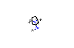 CC(C)NC1C[C@H]2CC[C@@H](C1)N2C(C)C